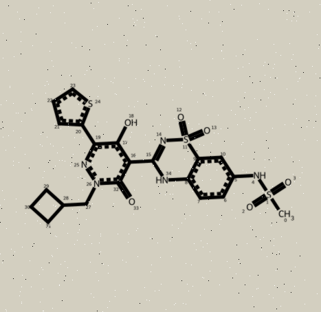 CS(=O)(=O)Nc1ccc2c(c1)S(=O)(=O)N=C(c1c(O)c(-c3cccs3)nn(CC3CCC3)c1=O)N2